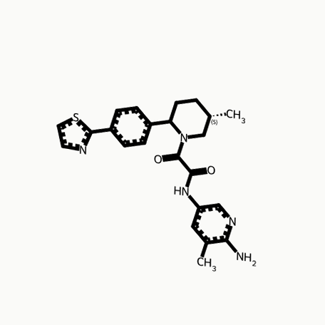 Cc1cc(NC(=O)C(=O)N2C[C@@H](C)CCC2c2ccc(-c3nccs3)cc2)cnc1N